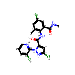 CNC(=O)c1cc(Br)cc(C)c1NC(=O)c1cc(Cl)nn1-c1ncccc1Cl